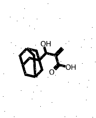 C=C(C(=O)O)C(O)C12CC3CC(CC(C3)C1)C2